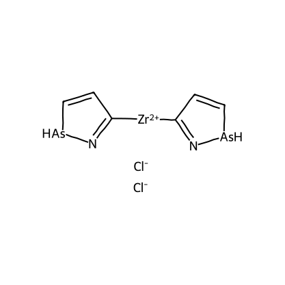 C1=C[C]([Zr+2][C]2=N[AsH]C=C2)=N[AsH]1.[Cl-].[Cl-]